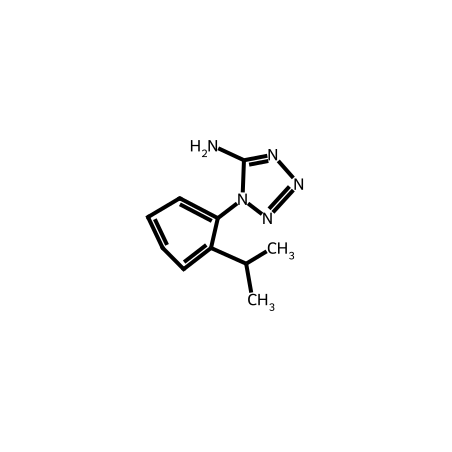 CC(C)c1ccccc1-n1nnnc1N